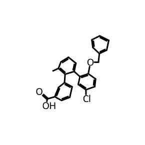 Cc1cccc(-c2cc(Cl)ccc2OCc2ccccc2)c1-c1cccc(C(=O)O)c1